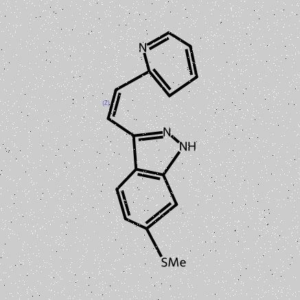 CSc1ccc2c(/C=C\c3ccccn3)n[nH]c2c1